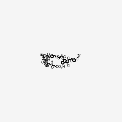 CC(C)C[C@H](NC(=O)CCNC(=O)CCC(=O)O)C(=O)N[C@@H](C)C(=O)N[C@@H](CC(C)C)C(=O)Nc1ccc(COC(C)N(C)CCN(C)C(=O)Oc2cc3c(c4ccccc24)[C@H](CCl)CN3C(=O)c2cc3cc(OCCN(C)C)ccc3o2)cc1